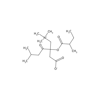 CCC(C)C(=O)OC(CC(=O)[O-])(C[N+](C)(C)C)C(=O)CC(C)C